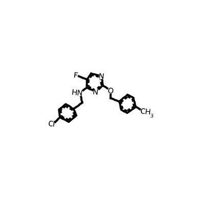 Cc1ccc(COc2ncc(F)c(NCc3ccc(Cl)cc3)n2)cc1